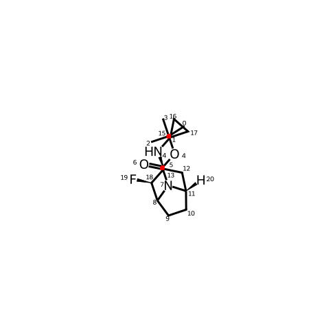 CC(C)(C)OC(=O)N1C2CC[C@H]1C[C@H](NC1CC1)[C@@H]2F